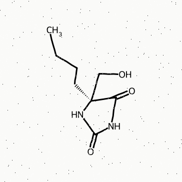 CCCC[C@@]1(CO)NC(=O)NC1=O